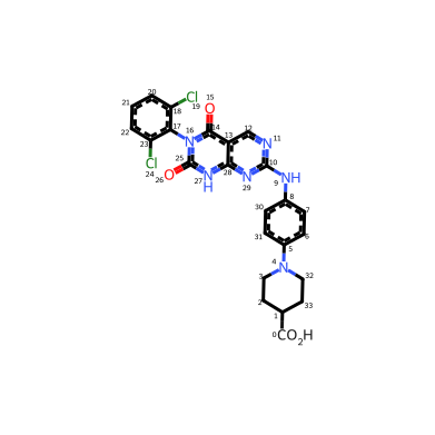 O=C(O)C1CCN(c2ccc(Nc3ncc4c(=O)n(-c5c(Cl)cccc5Cl)c(=O)[nH]c4n3)cc2)CC1